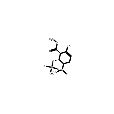 CC1=CCC(N(C)C)[C@H](O[Si](C)(C)C(C)(C)C)[C@H]1C(=O)OP